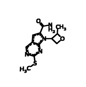 CSc1ncc2cc(C(N)=O)n(C3COC3C)c2n1